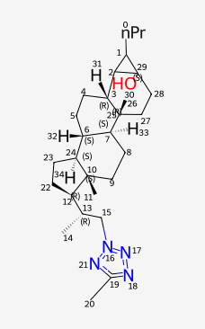 CCCC1C2[C@H]3CC[C@@H]4[C@H](CC[C@]5(C)[C@@H]([C@@H](C)Cn6nnc(C)n6)CC[C@@H]45)[C@@]3(C)CC[C@]12O